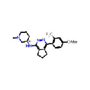 COc1ccc(-c2nnc(N[C@@H]3CCCN(C)C3)c3c2CCC3)c(C(F)(F)F)c1